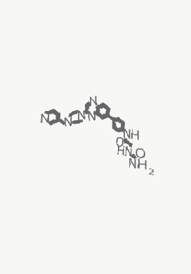 NC(=O)NCC(=O)Nc1ccc(-c2ccc3ncc(N4CCN(Cc5cccnc5)CC4)nc3c2)cc1